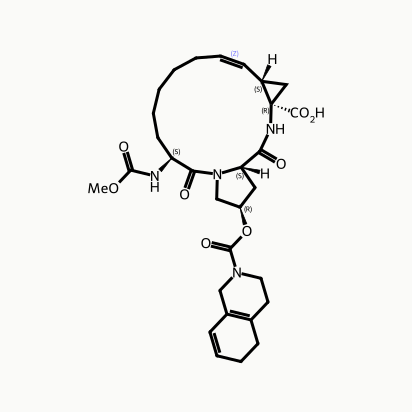 COC(=O)N[C@H]1CCCCC/C=C\[C@@H]2C[C@@]2(C(=O)O)NC(=O)[C@@H]2C[C@@H](OC(=O)N3CCC4=C(C=CCC4)C3)CN2C1=O